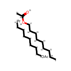 CC(=O)OCCCCCCCC(C)C.CCCCCCCCCOC(C)=O